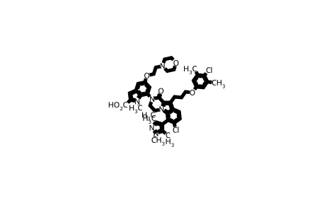 Cc1cc(OCCCc2c3n(c4c(-c5c(C)nn(C)c5C)c(Cl)ccc24)C(C)CN(c2cc(OCCN4CCOCC4)cc4cc(C(=O)O)n(C)c24)C3=O)cc(C)c1Cl